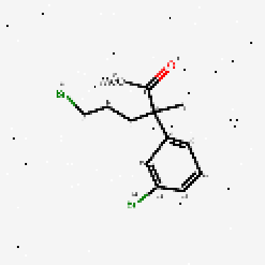 COC(=O)C(C)(CCCBr)c1cccc(Br)c1